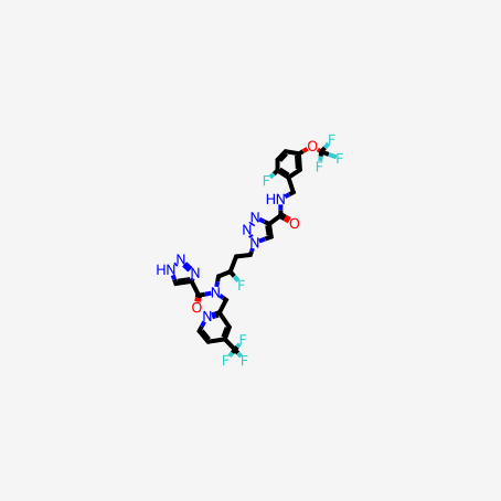 O=C(NCc1cc(OC(F)(F)F)ccc1F)c1cn(CCC(F)CN(Cc2cc(C(F)(F)F)ccn2)C(=O)c2c[nH]nn2)nn1